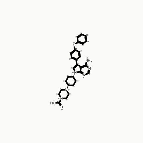 Nc1ncnc2c1c(-c1ccc(Oc3ccccc3)cc1)cn2[C@H]1CC[C@H](N2CCN(C(=O)O)CC2)CC1